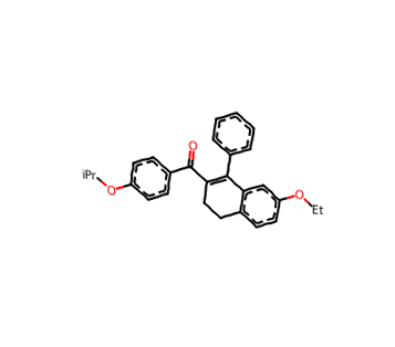 CCOc1ccc2c(c1)C(c1ccccc1)=C(C(=O)c1ccc(OC(C)C)cc1)CC2